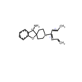 C=C/N=C(\C=C\C)N1CCC2(CC1)Oc1ccccc1[C@H]2N